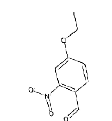 CCOc1ccc(C=O)c([N+](=O)[O-])c1